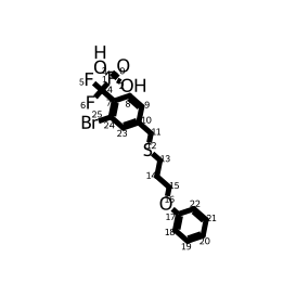 O=P(O)(O)C(F)(F)c1ccc(CSCCCOc2ccccc2)cc1Br